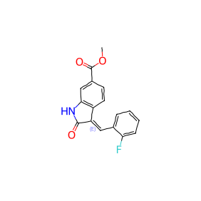 COC(=O)c1ccc2c(c1)NC(=O)/C2=C/c1ccccc1F